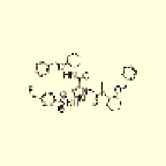 O=C(Cn1nc(NS(=O)(=O)c2ccc(CF)cc2)cc1C(=O)N[C@H]1CCCC[C@@H]1OCc1ccccc1)N[C@H]1CCCC[C@@H]1OCc1ccccc1